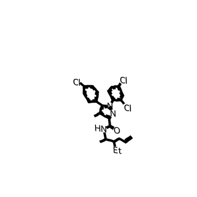 C=CCC(CC)C(C)NC(=O)c1nn(-c2ccc(Cl)cc2Cl)c(-c2ccc(Cl)cc2)c1C